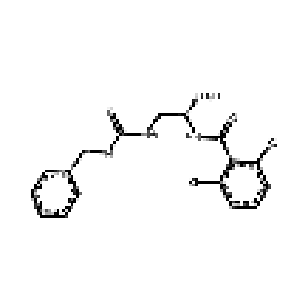 O=C(NCc1ccccc1)NC[C@H](NC(=O)c1c(Cl)cccc1Cl)C(=O)O